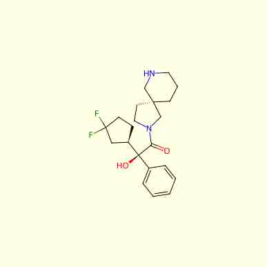 O=C(N1CC[C@]2(CCCNC2)C1)[C@](O)(c1ccccc1)[C@@H]1CCC(F)(F)C1